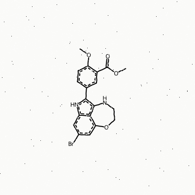 COC(=O)c1cc(-c2[nH]c3cc(Br)cc4c3c2NCCO4)ccc1OC